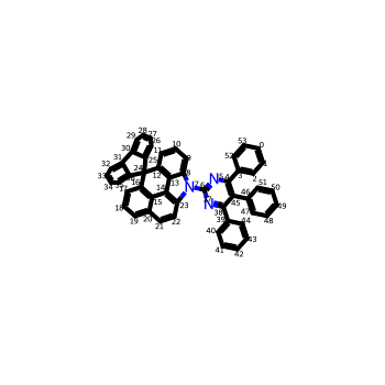 c1ccc(-c2nc(-n3c4cccc5c4c4c6c(cccc6ccc43)C53c4ccccc4-c4ccccc43)nc(-c3ccccc3)c2-c2ccccc2)cc1